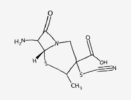 CC1S[C@@H]2C(N)C(=O)N2CC1(SC#N)C(=O)O